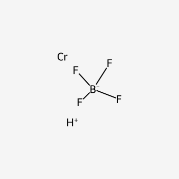 F[B-](F)(F)F.[Cr].[H+]